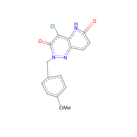 COc1ccc(Cn2nc3ccc(=O)[nH]c3c(Cl)c2=O)cc1